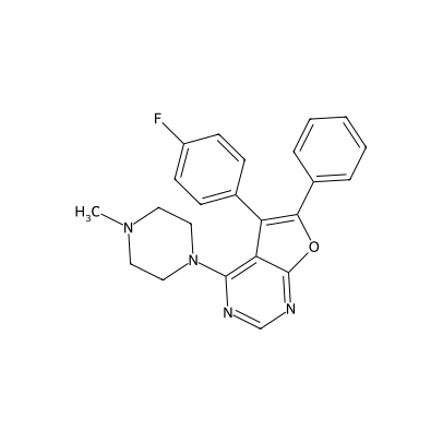 CN1CCN(c2ncnc3oc(-c4ccccc4)c(-c4ccc(F)cc4)c23)CC1